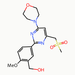 COc1ccc(-c2nc(CS(C)(=O)=O)cc(N3CCOCC3)n2)cc1CO